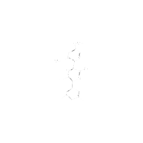 CCc1nc(-c2ccc(OC)cc2OC)c(CC)nc1-c1cc(C)cc(C)c1